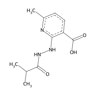 Cc1ccc(C(=O)O)c(NNC(=O)C(C)C)n1